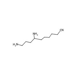 N#CCCCCCC(N)CCCN